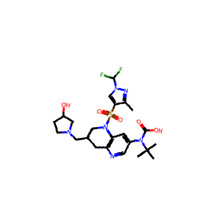 Cc1nn(C(F)F)cc1S(=O)(=O)N1CC(CN2CCC(O)C2)Cc2ncc(N(C(=O)O)C(C)(C)C)cc21